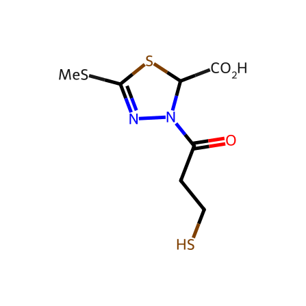 CSC1=NN(C(=O)CCS)C(C(=O)O)S1